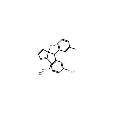 CCC1=CC=C[C]1([Ti+3])C(c1cccc(C)c1)c1cccc(C)c1.[Cl-].[Cl-].[Cl-]